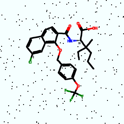 CCCC(C)(CC)[C@H](NC(=O)c1ccc2ccc(Cl)cc2c1OCc1ccc(OC(F)(F)F)cc1)C(=O)O